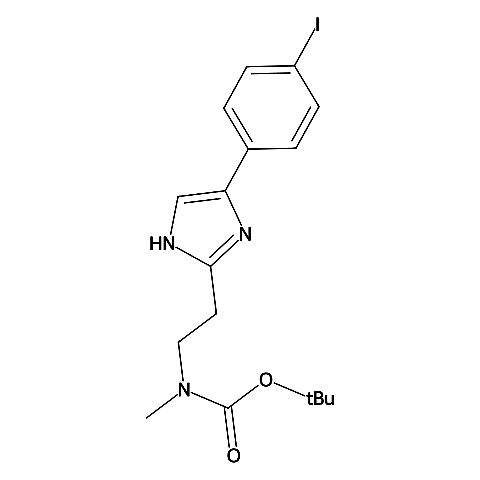 CN(CCc1nc(-c2ccc(I)cc2)c[nH]1)C(=O)OC(C)(C)C